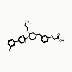 CCCC[C@@H]1CN(Cc2cccc(OCC(=O)O)c2)CCN1c1ncc(-c2cccc(F)c2)cn1